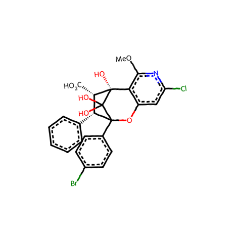 COc1nc(Cl)cc2c1[C@]1(O)[C@@H](C(=O)O)[C@@H](c3ccccc3)C(c3ccc(Br)cc3)(O2)C1(O)O